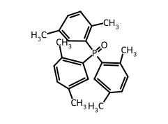 Cc1ccc(C)c(P(=O)(c2cc(C)ccc2C)c2cc(C)ccc2C)c1